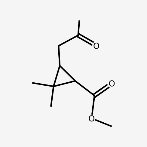 COC(=O)C1C(CC(C)=O)C1(C)C